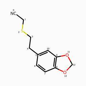 N#CCSCCc1ccc2c(c1)OCO2